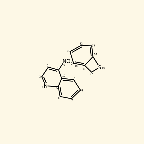 O=[N+]([O-])c1ccnc2ccccc12.c1ccc2c(c1)CS2